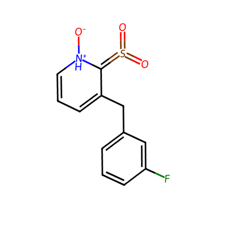 O=S(=O)=C1C(Cc2cccc(F)c2)=CC=C[NH+]1[O-]